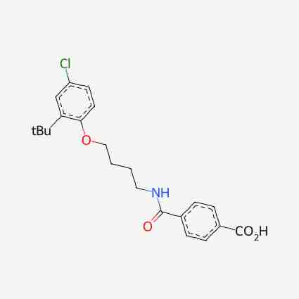 CC(C)(C)c1cc(Cl)ccc1OCCCCNC(=O)c1ccc(C(=O)O)cc1